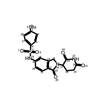 CC(C)(C)c1ccc(S(=O)(=O)Nc2ccc3c(c2)CN(C2CCC(=O)NC2=O)C3=O)cc1